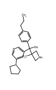 CCCc1ccc(C(O)(c2cncc(N3CCCC3)c2)C2(C)CNC2)cc1